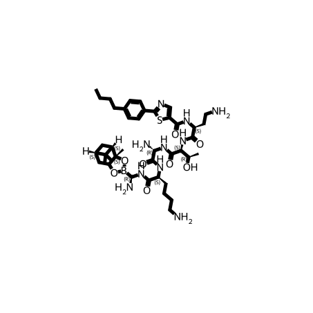 CCCCc1ccc(-c2ncc(C(=O)N[C@@H](CCN)C(=O)N[C@H](C(=O)N[C@@H](N)C(=O)N[C@@H](CCCCN)C(=O)N[C@@H](N)B3OC4C[C@@H]5C[C@@H](C5(C)C)[C@]4(C)O3)[C@@H](C)O)s2)cc1